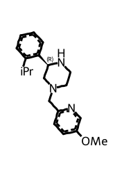 COc1ccc(CN2CCN[C@H](c3ccccc3C(C)C)C2)nc1